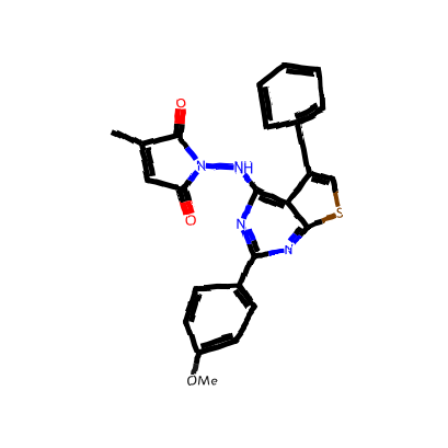 COc1ccc(-c2nc(NN3C(=O)C=C(C)C3=O)c3c(-c4ccccc4)csc3n2)cc1